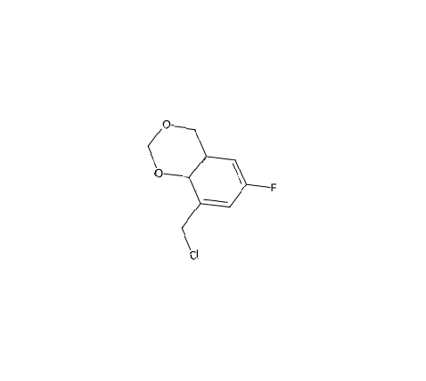 FC1=CC2COCOC2C(CCl)=C1